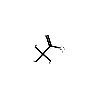 C=C(C#N)C(C)(C)C